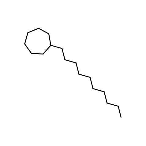 CCCCCCCCCCC1CCCCCC1